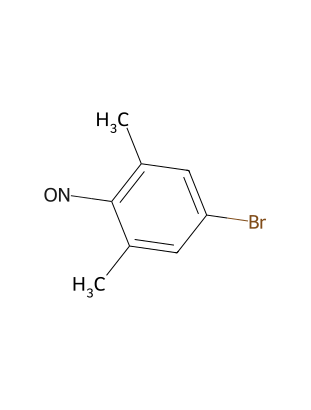 Cc1cc(Br)cc(C)c1N=O